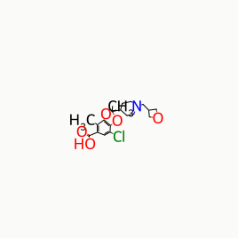 Cc1c(C(=O)O)cc(Cl)c2c1OC(C)(C1CCN(CC3COC3)CC1)O2